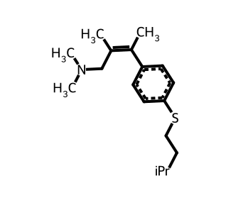 CC(CN(C)C)=C(C)c1ccc(SCCC(C)C)cc1